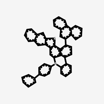 c1ccc(-c2ccc(N(c3ccc4sc5cc6ccccc6cc5c4c3)c3ccccc3-c3ccc(-c4cc5ccccc5c5ccccc45)cc3)cc2)cc1